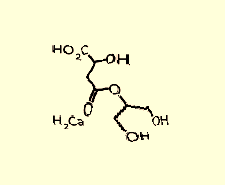 O=C(CC(O)C(=O)O)OC(CO)CO.[CaH2]